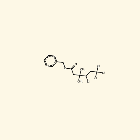 CC(C)(CC(=O)OCc1ccccc1)C(Cl)CC(Cl)(Cl)Cl